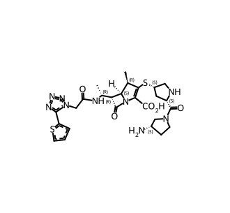 C[C@@H](NC(=O)Cn1nnnc1-c1cccs1)[C@H]1C(=O)N2C(C(=O)O)=C(S[C@@H]3CN[C@H](C(=O)N4CC[C@H](N)C4)C3)[C@H](C)[C@H]12